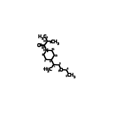 [CH2]C(COCC)C1CCN(C(=O)C(C)C)CC1